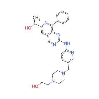 CC(O)c1cc2cnc(Nc3ccc(CN4CCN(CCO)CC4)cn3)nc2c(-c2ccccc2)n1